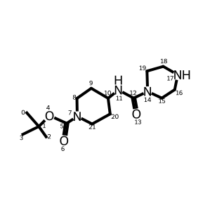 CC(C)(C)OC(=O)N1CCC(NC(=O)N2CCNCC2)CC1